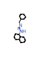 c1ccc(C/N=N/Nc2cccc3ccccc23)cc1